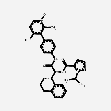 Cc1cc[n+]([O-])c(C)c1-c1ccc(NC(=O)[C@@H](NC(=O)c2ccnn2C(C)C)[C@H]2CCCc3ccccc32)cc1